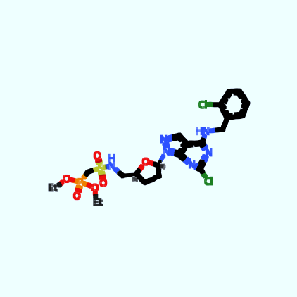 CCOP(=O)(CS(=O)(=O)NC[C@@H]1CC[C@H](n2ncc3c(NCc4ccccc4Cl)nc(Cl)nc32)O1)OCC